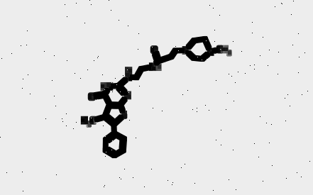 Cc1c(-c2ccccc2)sc2nc(NCCNC(=O)CCN3CCN(C)CC3)[nH]c(=O)c12